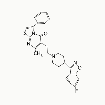 Cc1nc2scc(-c3ccccc3)n2c(=O)c1CCN1CCC(c2noc3cc(F)ccc23)CC1